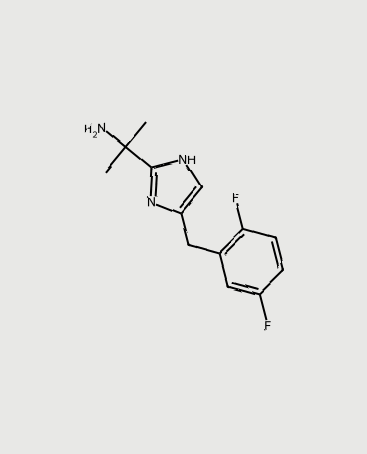 CC(C)(N)c1nc(Cc2cc(F)ccc2F)c[nH]1